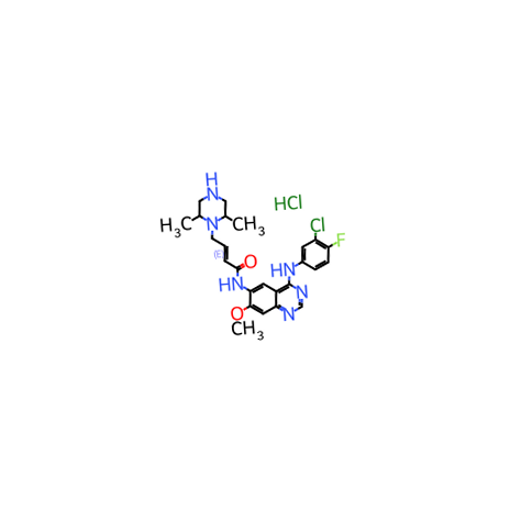 COc1cc2ncnc(Nc3ccc(F)c(Cl)c3)c2cc1NC(=O)/C=C/CN1C(C)CNCC1C.Cl